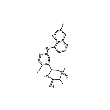 CC1C(=N)NC(c2cc(Nc3ccnc4cc(F)cnc34)ncc2F)CS1(=O)=O